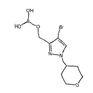 OB(O)OCc1nn(C2CCOCC2)cc1Br